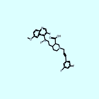 COc1ccc2ncc(F)c([C@H](F)CCC3CCN(CC#Cc4cc(F)cc(F)c4)CC3C(=O)O)c2c1